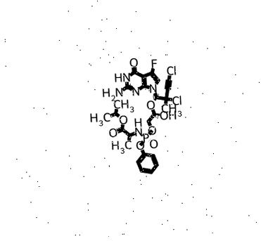 CC(C)OC(=O)C(C)NP(=O)(OC[C@H](O)O[C@@H](n1cc(F)c2c(=O)[nH]c(N)nc21)C(C)(Cl)C#CCl)Oc1ccccc1